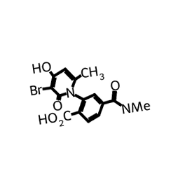 CNC(=O)c1ccc(C(=O)O)c(-n2c(C)cc(O)c(Br)c2=O)c1